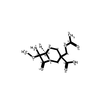 COC1(N)C(=O)N2CC(COC(C)=O)(C(=O)O)CS[C@@H]21